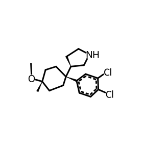 CO[C@]1(C)CC[C@](c2ccc(Cl)c(Cl)c2)([C@H]2CCNC2)CC1